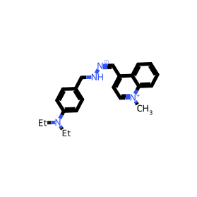 CCN(CC)c1ccc(CN/N=C\c2cc[n+](C)c3ccccc23)cc1